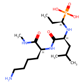 CC[C@H](N[C@@H](CC(C)C)C(=O)N[C@@H](CCCCN)C(=O)NC)P(=O)(O)O